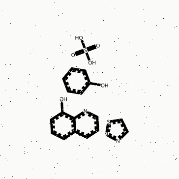 O=S(=O)(O)O.Oc1cccc2cccnc12.Oc1ccccc1.c1csnn1